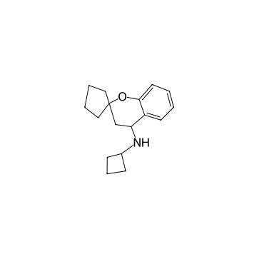 c1ccc2c(c1)OC1(CCCC1)CC2NC1CCC1